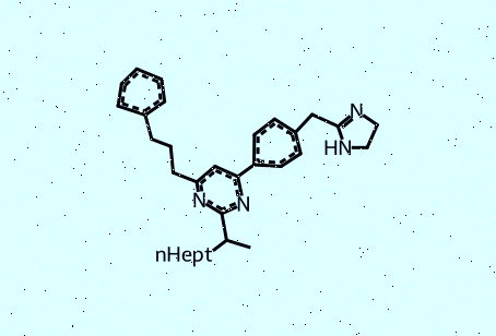 CCCCCCCC(C)c1nc(CCCc2ccccc2)cc(-c2ccc(CC3=NCCN3)cc2)n1